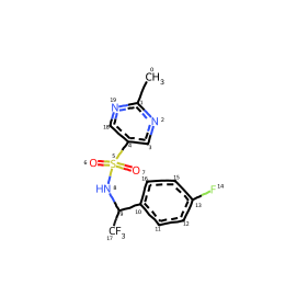 Cc1ncc(S(=O)(=O)NC(c2ccc(F)cc2)C(F)(F)F)cn1